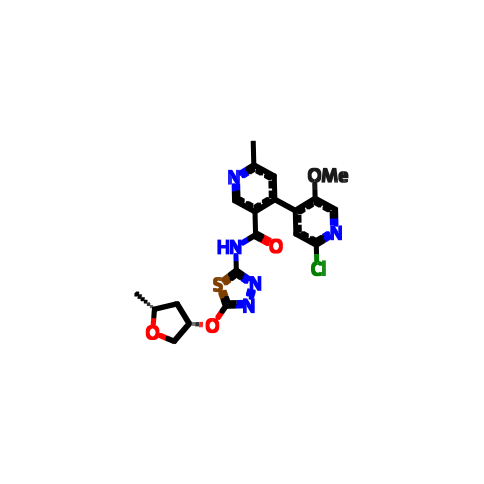 COc1cnc(Cl)cc1-c1cc(C)ncc1C(=O)Nc1nnc(O[C@@H]2CO[C@H](C)C2)s1